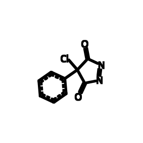 O=C1N=NC(=O)C1(Cl)c1ccccc1